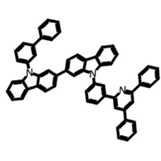 c1ccc(-c2cccc(-n3c4ccccc4c4ccc(-c5ccc6c7ccccc7n(-c7cccc(-c8cc(-c9ccccc9)cc(-c9ccccc9)n8)c7)c6c5)cc43)c2)cc1